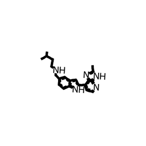 Cc1nc2c(-c3cc4cc(CNCCC(C)C)ccc4[nH]3)ccnc2[nH]1